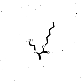 C=C(OCCO)C(=O)OCCCCCC